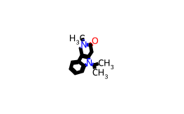 CC(C)n1c2c(c3ccccc31)CN(C)C(=O)C2